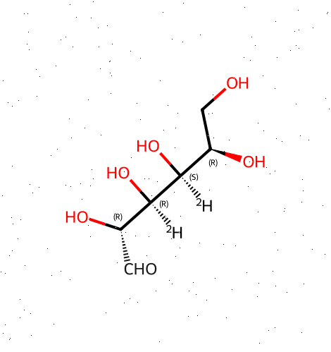 [2H][C@](O)([C@H](O)CO)[C@]([2H])(O)[C@@H](O)C=O